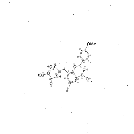 COc1ccc(COc2c(CC(NC(=O)OC(C)(C)C)C(=O)O)cc(F)cc2B(O)O)cc1